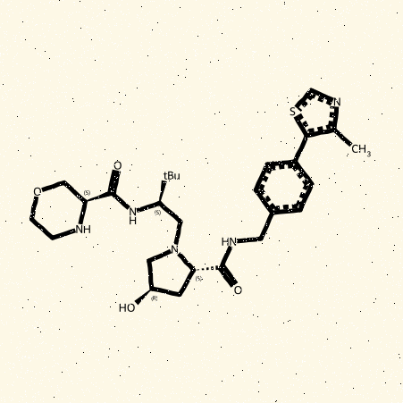 Cc1ncsc1-c1ccc(CNC(=O)[C@@H]2C[C@@H](O)CN2C[C@@H](NC(=O)[C@@H]2COCCN2)C(C)(C)C)cc1